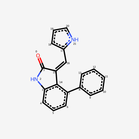 O=C1Nc2cccc(-c3ccccc3)c2C1=Cc1ccc[nH]1